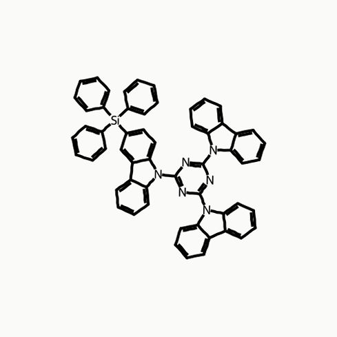 c1ccc([Si](c2ccccc2)(c2ccccc2)c2ccc3c(c2)c2ccccc2n3-c2nc(-n3c4ccccc4c4ccccc43)nc(-n3c4ccccc4c4ccccc43)n2)cc1